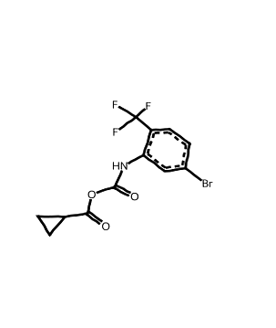 O=C(Nc1cc(Br)ccc1C(F)(F)F)OC(=O)C1CC1